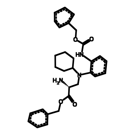 N[C@H](CN(c1ccccc1NC(=O)OCc1ccccc1)C1CCCCC1)C(=O)OCc1ccccc1